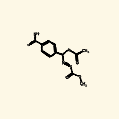 COC(=O)N=NC(OC(C)=O)c1ccc(C([NH])=O)cc1